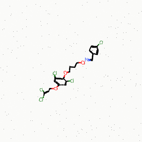 ClC(Cl)=CCOc1cc(Cl)c(OCCCCON=Cc2ccc(Cl)cc2)c(Cl)c1